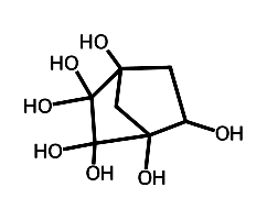 OC1CC2(O)CC1(O)C(O)(O)C2(O)O